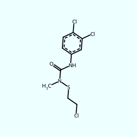 CN(SCCCl)C(=O)Nc1ccc(Cl)c(Cl)c1